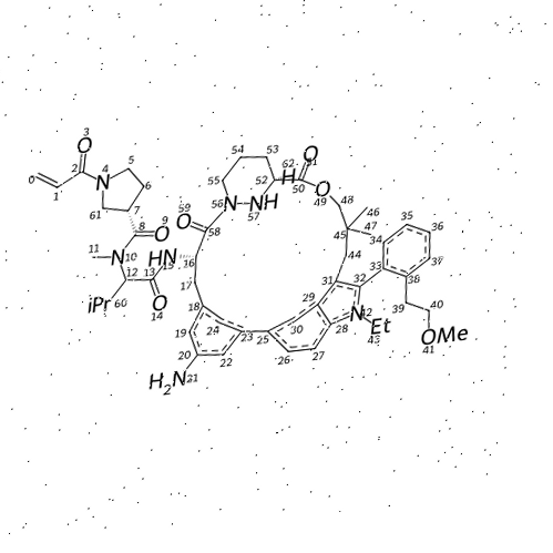 C=CC(=O)N1CC[C@H](C(=O)N(C)C(C(=O)N[C@H]2Cc3cc(N)cc(c3)-c3ccc4c(c3)c(c(-c3ccccc3CCOC)n4CC)CC(C)(C)COC(=O)[C@@H]3CCCN(N3)C2=O)C(C)C)C1